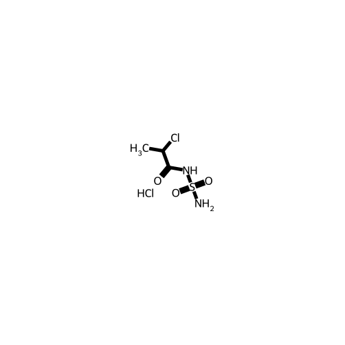 CC(Cl)C(=O)NS(N)(=O)=O.Cl